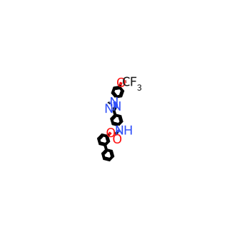 O=C(Nc1ccc(-c2ncn(-c3ccc(OC(F)(F)F)cc3)n2)cc1)Oc1cccc(-c2ccccc2)c1